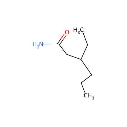 CCCC(CC)CC(N)=O